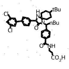 CCCCC(c1ccc(C(=O)NCCC(=O)O)cc1)N1C(=O)C(c2ccc(-c3cc(Cl)cc(Cl)c3)cc2)NC12CCC(C(C)(C)C)CC2